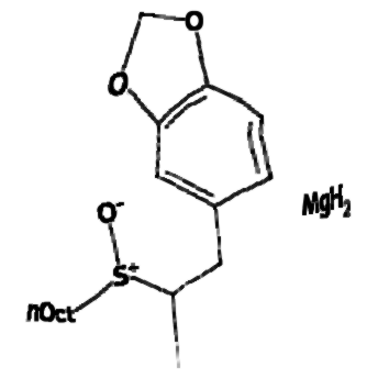 CCCCCCCC[S+]([O-])C(C)Cc1ccc2c(c1)OCO2.[MgH2]